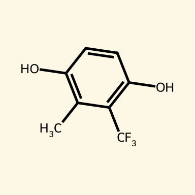 Cc1c(O)ccc(O)c1C(F)(F)F